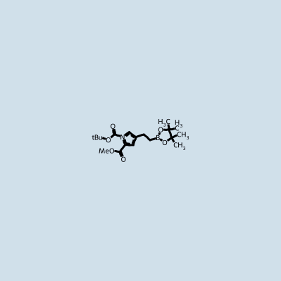 COC(=O)c1cc(CCB2OC(C)(C)C(C)(C)O2)cn1C(=O)OC(C)(C)C